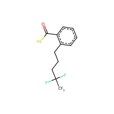 O=C(S)c1ccccc1CCCC(F)(F)C(F)(F)F